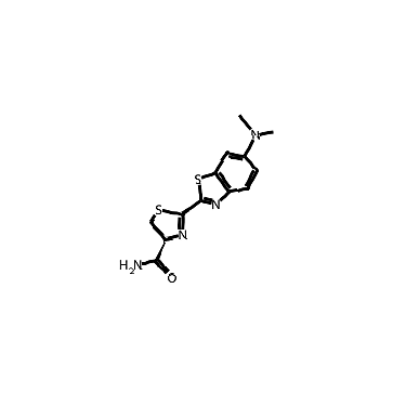 CN(C)c1ccc2nc(C3=N[C@@H](C(N)=O)CS3)sc2c1